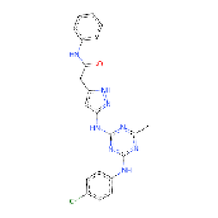 Cc1nc(Nc2ccc(Cl)cc2)nc(Nc2cc(CC(=O)Nc3ccccc3)[nH]n2)n1